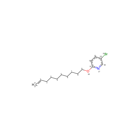 C=CCCCCCCCCOc1ccc(Br)cn1